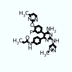 C=CC(=O)Nc1ccc(-c2nc(Nc3cnn(C)c3)nc(N)c2-c2ccc(Oc3nccc(C)n3)c(F)c2)cc1